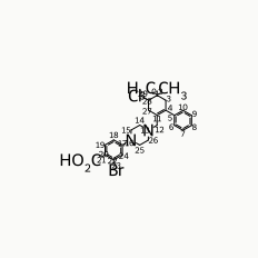 CC1(C)CC(c2ccccc2)=C(CN2CCN(c3ccc(C(=O)O)c(Br)c3)CC2)CC1Cl